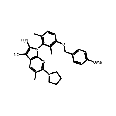 COc1ccc(COc2ccc(C)c(-n3c(N)c(C#N)c4cc(C)c(N5CCCC5)nc43)c2C)cc1